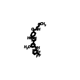 COCCNC(=O)C1CCC(O)(c2ncc(-c3cc(C)cc(Nc4nccc(C(F)(F)F)n4)c3)s2)CC1